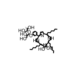 CCCCCCc1c2nc(c(-c3cccc(OC(OC(CO)[C@H](C)O)[C@@H](O)CO)c3)c3ccc([nH]3)c(CCCCCC)c3nc(c(CCCCCC)c4ccc1[nH]4)[C@H](O)[C@@H]3O)C=C2